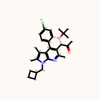 CC(=O)[C@@H](OC(C)(C)C)c1c(C)nc2c(c(C)c(C)n2CC2CCC2)c1-c1ccc(Cl)cc1